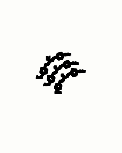 CC(=O)Oc1ccc(C=CC(=O)C=Cc2ccc(OC(C)=O)cc2)cc1.CC(=O)Oc1ccc(C=CC(=O)C=Cc2ccc(OC(C)=O)cc2)cc1.CC(=O)Oc1ccc(C=CC(=O)C=Cc2ccc(OC(C)=O)cc2)cc1.[Pd]